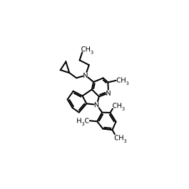 CCCN(CC1CC1)c1cc(C)nc2c1c1ccccc1n2-c1c(C)cc(C)cc1C